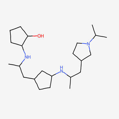 CC(CC1CCN(C(C)C)C1)NC1CCC(CC(C)NC2CCCC2O)C1